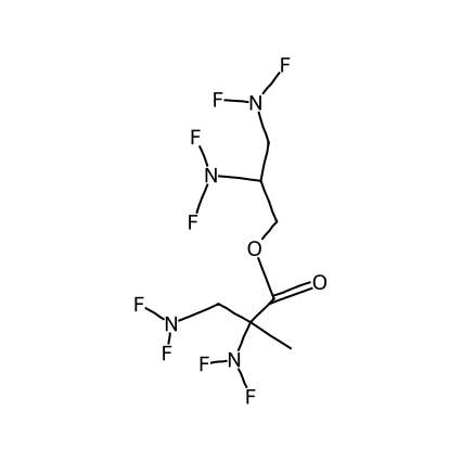 CC(CN(F)F)(C(=O)OCC(CN(F)F)N(F)F)N(F)F